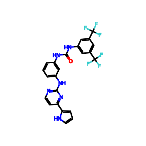 O=C(Nc1cccc(Nc2nccc(-c3ccc[nH]3)n2)c1)Nc1cc(C(F)(F)F)cc(C(F)(F)F)c1